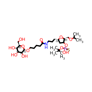 CC(C)OC[C@H]1O[C@@H](CCCNC(=O)CCCCO[C@H]2O[C@H](CO)[C@@H](O)[C@H](O)[C@@H]2O)CC1OP(O)(=S)OC(C)(C)C